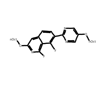 CCCCCCCCOc1cnc(-c2ccc3cc(OCCCCCCCC)nc(F)c3c2F)nc1